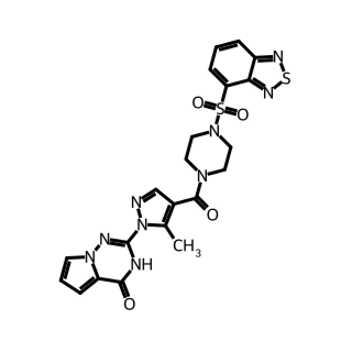 Cc1c(C(=O)N2CCN(S(=O)(=O)c3cccc4nsnc34)CC2)cnn1-c1nn2cccc2c(=O)[nH]1